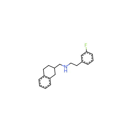 Fc1cccc(CCNCC2CCc3ccccc3C2)c1